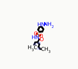 C\C=C/C=C(\C=C/C)C(=O)NS(=O)(=O)c1ccc(NN)cc1